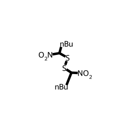 CCCCC(SSC(CCCC)[N+](=O)[O-])[N+](=O)[O-]